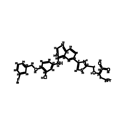 CC(C)CC(OCc1nc(-c2ccc3ncnc(Nc4ccc(OCc5cccc(F)c5)c(Cl)c4)c3c2)cs1)=S(=O)=O